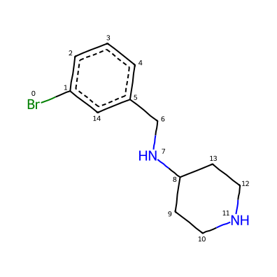 Brc1cccc(CNC2CCNCC2)c1